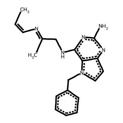 C/C=C\N=C(/C)CNc1nc(N)nc2ccn(Cc3ccccc3)c12